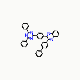 c1ccc(-c2ccc(-c3nc4ccccc4nc3-c3ccc(-c4nc(-c5ccccc5)nc(-c5ccccc5)n4)cc3)cc2)cc1